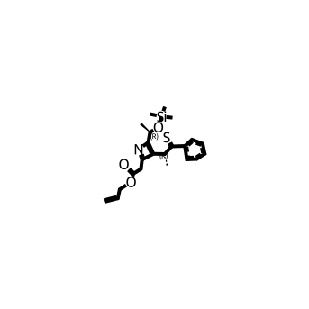 C=CCOC(=O)CC1=NC([C@@H](C)O[Si](C)(C)C)=C1[C@@H](C)C(=S)c1ccccc1